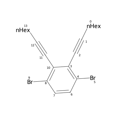 CCCCCCC#Cc1c(Br)ccc(Br)c1C#CCCCCCC